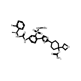 C[C@H](NC(=O)Nc1ccc(-c2cnc(C3CCC(OC(N)=O)(C4COC4)CC3)s2)c(S(=O)(=O)NC(C)(C)C)c1)c1ccccc1F